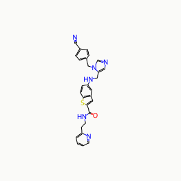 N#Cc1ccc(Cn2cncc2CNc2ccc3sc(C(=O)NCCc4ccccn4)cc3c2)cc1